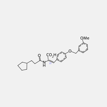 COc1cccc(COc2ccc(/C=C(/NC(=O)CCC3CCCC3)C(=O)O)cc2)c1